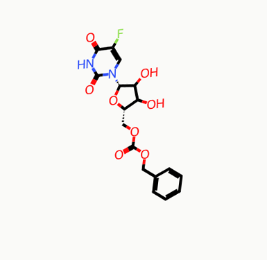 O=C(OCc1ccccc1)OC[C@@H]1O[C@H](n2cc(F)c(=O)[nH]c2=O)C(O)C1O